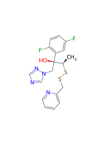 C[C@@H](SSCc1ccccn1)[C@](O)(Cn1cncn1)c1cc(F)ccc1F